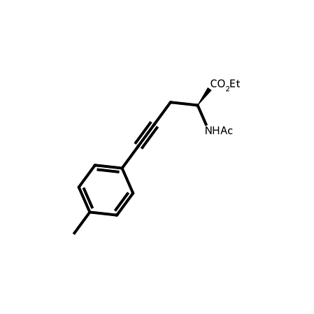 CCOC(=O)[C@H](CC#Cc1ccc(C)cc1)NC(C)=O